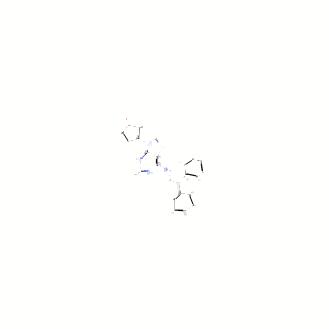 O[C@@H]1C=C[C@H](n2cnc3c(NCC(c4ccccc4)c4ccccc4)nc(Cl)nc32)C1